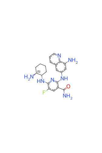 NC(=O)c1cc(F)c(NC2CCCC[C@@H]2N)nc1Nc1cc(N)c2ncccc2c1